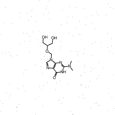 CN(C)c1nc2c(ncn2COC(CO)CO)c(=O)[nH]1